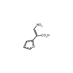 O=C(O)C(=C[N+](=O)[O-])c1ccco1